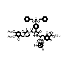 COc1ccc(CN2CCN(C(=O)NC(C(=O)NC(Cc3ccc(F)c(C(=O)OC(C)(C)C)c3OC)B3O[C@@H]4C[C@@H]5C[C@@H](C5(C)C)[C@]4(C)O3)c3ccc(P(=O)(OCc4ccccc4)OCc4ccccc4)cc3)C(=O)C2=O)c(Cl)c1OC